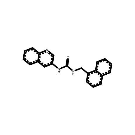 O=C(NCc1cccc2ccccc12)Nc1cnc2ccccc2c1